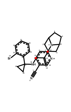 N#Cc1ccc(N2C3CCC2CN(C(=O)CNC2(c4ccccc4Br)CC2)C3)nc1